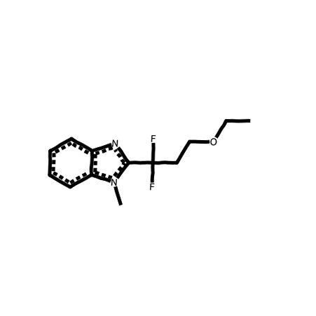 CCOCCC(F)(F)c1nc2ccccc2n1C